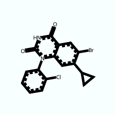 O=c1[nH]c(=O)n(-c2ccccc2Cl)c2cc(C3CC3)c(Br)cc12